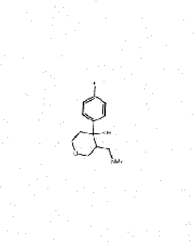 CNCC1COCCC1(O)c1ccc(F)cc1